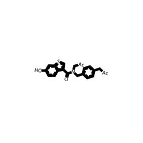 CC(=O)Cc1ccc(CN(CC(C)=O)C(=O)c2csc3cc(O)ccc23)cc1